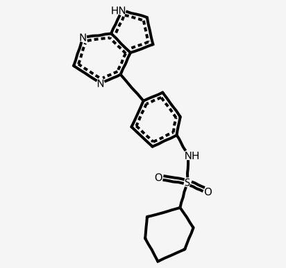 O=S(=O)(Nc1ccc(-c2ncnc3[nH]ccc23)cc1)C1CCCCC1